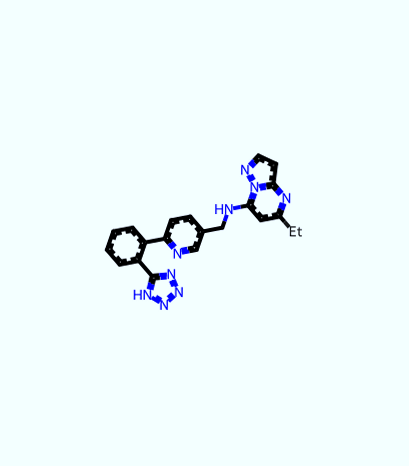 CCc1cc(NCc2ccc(-c3ccccc3-c3nnn[nH]3)nc2)n2nccc2n1